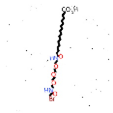 O=C(O)CCCCCCCCCCCCCCCCC(=O)NCCOCCOCCOCCNC(=O)CBr